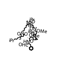 CC[C@H](C)[C@@H]([C@@H](CC(=O)N1C2CC2CC1[C@H](OC)[C@@H](C)C(=O)N[C@H](C=O)Cc1ccccc1)OC)N(C)C(=O)CNC(=O)[C@H](C(C)C)N(C)C(=O)CCCCCN1C(=O)CC(SCCCC(C)C)C1=O